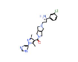 Cc1nn(-c2cncnc2)c(C)c1C(=O)N1CC2CN(CC[C@H](N)c3cccc(Cl)c3)CC2C1